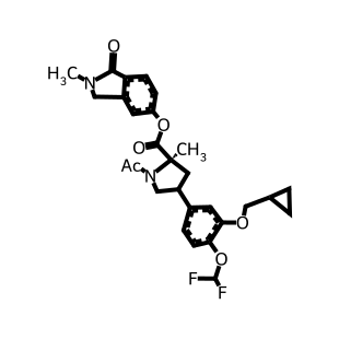 CC(=O)N1CC(c2ccc(OC(F)F)c(OCC3CC3)c2)C[C@]1(C)C(=O)Oc1ccc2c(c1)CN(C)C2=O